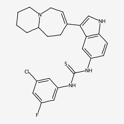 Fc1cc(Cl)cc(NC(=S)Nc2ccc3[nH]cc(C4=CCN5CCCCC5CC4)c3c2)c1